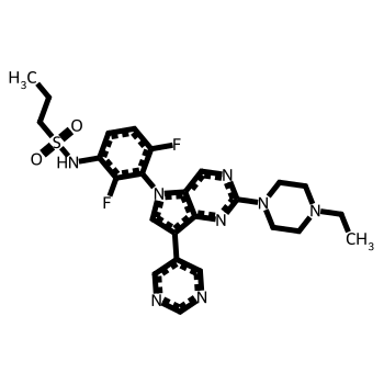 CCCS(=O)(=O)Nc1ccc(F)c(-n2cc(-c3cncnc3)c3nc(N4CCN(CC)CC4)ncc32)c1F